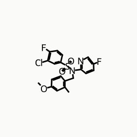 COc1ccc(CN(c2ccc(F)cn2)S(=O)(=O)c2ccc(F)c(Cl)c2)c(C)c1